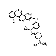 CN(C)C1CCN(c2ccc(Nc3ncc4c(n3)SCN(c3c(Cl)cccc3Cl)C4=O)cc2C(O)C2CC2)CC1